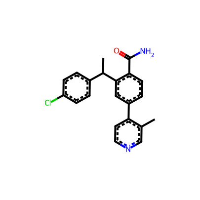 Cc1cnccc1-c1ccc(C(N)=O)c(C(C)c2ccc(Cl)cc2)c1